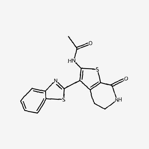 CC(=O)Nc1sc2c(c1-c1nc3ccccc3s1)CCNC2=O